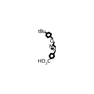 CC(C)(C)c1ccc(COCc2cn(Cc3ccc(C(=O)O)cc3)cn2)cc1